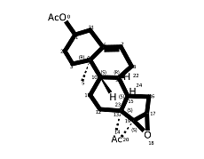 CC(=O)OC1CC[C@@]2(C)C(=CC[C@@H]3[C@@H]2CC[C@@]2(C)[C@H]3CC3O[C@]32C(C)=O)C1